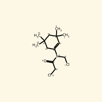 CC1(C)C=C(N(CCl)C(=O)CCl)CC(C)(C)C1